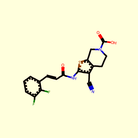 N#Cc1c(NC(=O)C=Cc2cccc(F)c2F)sc2c1CCN(C(=O)O)C2